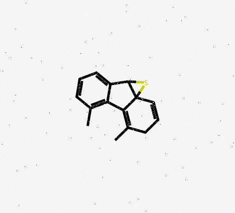 CC1=C2c3c(C)cccc3C3SC23C=CC1